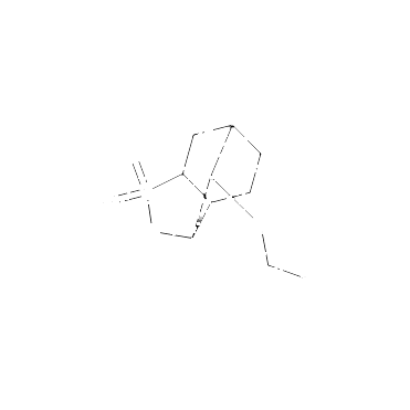 O=S1(=O)OC2C3CCC(CC31)C2OCI